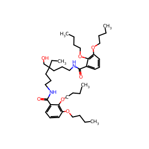 CCCCOc1cccc(C(=O)NCCCC(CC)(CO)CCCNC(=O)c2cccc(OCCCC)c2OCCCC)c1OCCCC